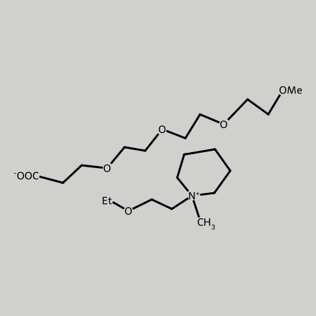 CCOCC[N+]1(C)CCCCC1.COCCOCCOCCOCCC(=O)[O-]